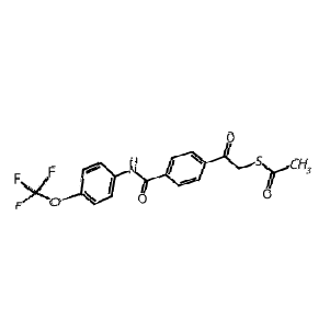 CC(=O)SCC(=O)c1ccc(C(=O)Nc2ccc(OC(F)(F)F)cc2)cc1